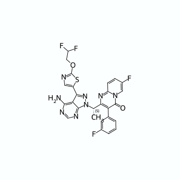 C[C@@H](c1nc2ccc(F)cn2c(=O)c1-c1cccc(F)c1)n1nc(-c2cnc(OCC(F)F)s2)c2c(N)ncnc21